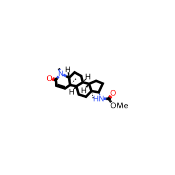 COC(=O)N[C@H]1CC[C@H]2[C@@H]3CC[C@H]4N(C)C(=O)C=C[C@]4(C)[C@H]3CC[C@]12C